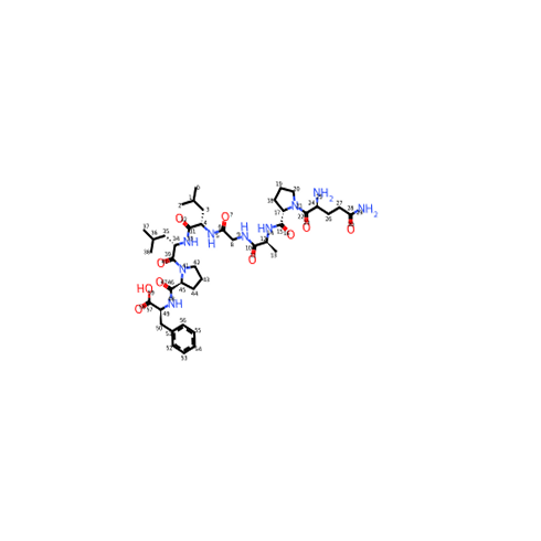 CC(C)C[C@H](NC(=O)CNC(=O)[C@H](C)NC(=O)[C@@H]1CCCN1C(=O)[C@@H](N)CCC(N)=O)C(=O)N[C@@H](CC(C)C)C(=O)N1CCC[C@H]1C(=O)N[C@@H](Cc1ccccc1)C(=O)O